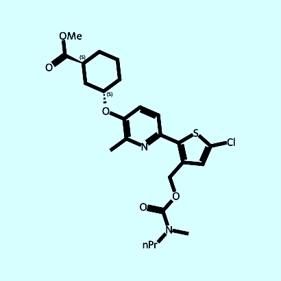 CCCN(C)C(=O)OCc1cc(Cl)sc1-c1ccc(O[C@H]2CCC[C@H](C(=O)OC)C2)c(C)n1